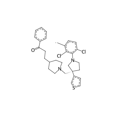 [CH2]c1ccc(Cl)c(N2CC[C@@](CN3CCC(CCC(=O)c4ccccc4)CC3)(c3ccsc3)C2)c1Cl